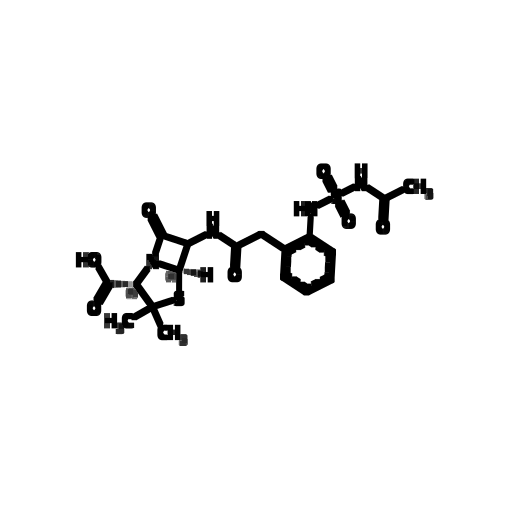 CC(=O)NS(=O)(=O)Nc1ccccc1CC(=O)NC1C(=O)N2[C@@H]1SC(C)(C)[C@@H]2C(=O)O